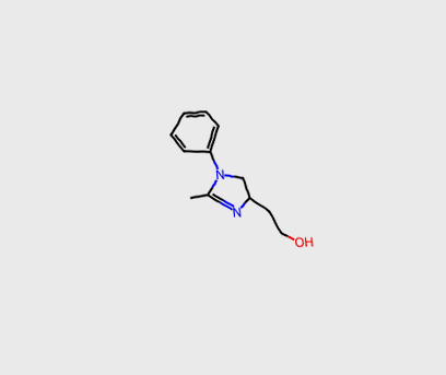 CC1=NC(CCO)CN1c1ccccc1